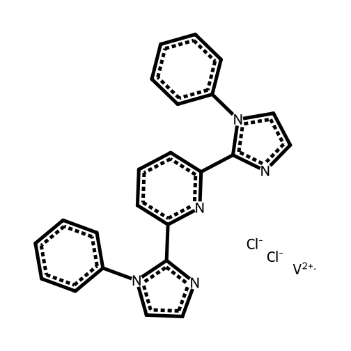 [Cl-].[Cl-].[V+2].c1ccc(-n2ccnc2-c2cccc(-c3nccn3-c3ccccc3)n2)cc1